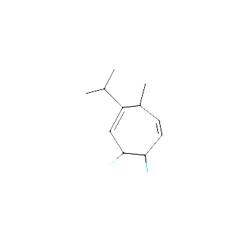 CC(C)C1=CC(F)C(F)C=CC1C